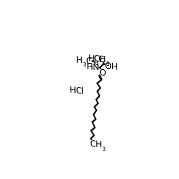 CCCCCCCCCCCCCCCCC=COC(NC(C)C)C(C)O.Cl